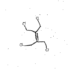 ClCC(CCl)=C(CCl)CCl